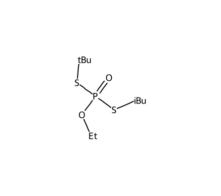 CCOP(=O)(SC(C)CC)SC(C)(C)C